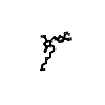 CCCCC(C)(O)C/C=C/[C@H]1[C@H](O)CC(=O)[C@@H]1/C=C\CCOCCO